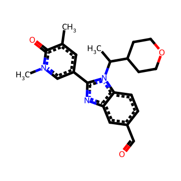 Cc1cc(-c2nc3cc(C=O)ccc3n2C(C)C2CCOCC2)cn(C)c1=O